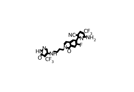 N#Cc1cc(C(F)(F)F)c(N)nc1-c1cc2ccn(CCCCNc3cn[nH]c(=O)c3C(F)(F)F)c(=O)c2cc1F